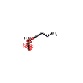 CCCCC/C=C\CCCC/C=C\CCCCCCCCCOC[C@H](COP(=O)(O)OC[C@@H](O)[C@@H](O)[C@H](O)[C@H](O)CO)OC